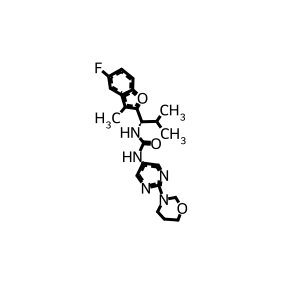 Cc1c([C@@H](NC(=O)Nc2cnc(N3CCCOC3)nc2)C(C)C)oc2ccc(F)cc12